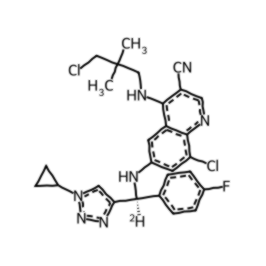 [2H][C@](Nc1cc(Cl)c2ncc(C#N)c(NCC(C)(C)CCl)c2c1)(c1ccc(F)cc1)c1cn(C2CC2)nn1